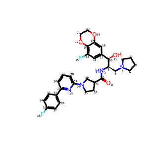 O=C(N[C@H](CN1CCCC1)[C@H](O)c1cc(F)c2c(c1)OCCO2)C1CCN(c2cccc(-c3ccc(F)cc3)n2)C1